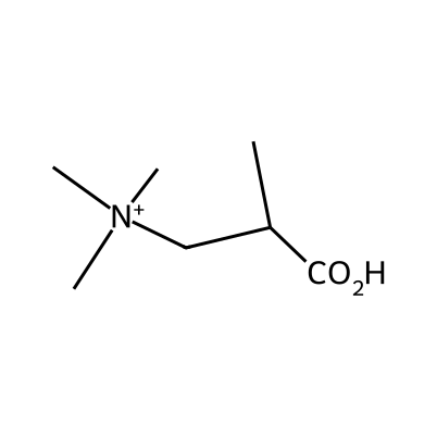 CC(C[N+](C)(C)C)C(=O)O